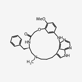 COc1ccc2cc1OCC(=O)N[C@H](Cc1ccccc1)CN(C)CCCc1c[nH]c3ncnc(c13)N2